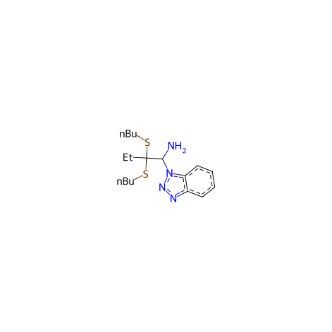 CCCCSC(CC)(SCCCC)C(N)n1nnc2ccccc21